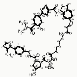 Cc1ncsc1-c1ccc(CNC(=O)[C@@H]2C[C@@H](O)CN2C(=O)[C@@H](NC(=O)CCCCCNC(=O)COc2ccc3c(c2)[C@H](NC(=O)c2cc(-c4ccc(C(=O)N(C)C)c(O)c4)on2)CC3)C(C)(C)C)cc1